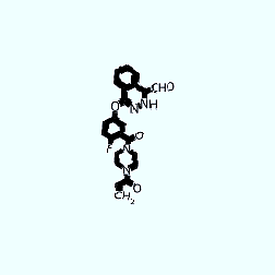 C=CC(=O)N1CCN(C(=O)c2cc(OC3=NNC(C=O)c4ccccc43)ccc2F)CC1